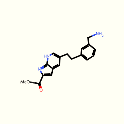 COC(=O)c1cc2cc(CCc3cccc(CN)c3)c[nH]c-2n1